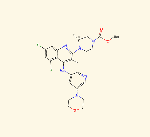 Cc1c(N2CCN(C(=O)OC(C)(C)C)C[C@H]2C)nc2cc(F)cc(F)c2c1Nc1cncc(N2CCOCC2)c1